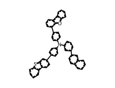 c1cc(-c2ccc3ccccc3c2)cc(N(c2ccc(-c3ccc4c(c3)sc3ccccc34)cc2)c2ccc(-c3cccc4c3oc3ccccc34)cc2)c1